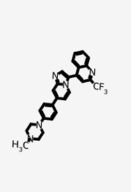 CN1CCN(c2ccc(-c3ccn4c(-c5cc(C(F)(F)F)nc6ccccc56)cnc4c3)cc2)CC1